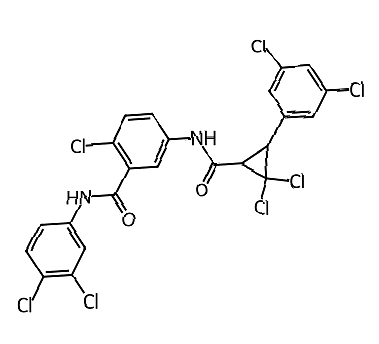 O=C(Nc1ccc(Cl)c(Cl)c1)c1cc(NC(=O)C2C(c3cc(Cl)cc(Cl)c3)C2(Cl)Cl)ccc1Cl